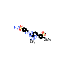 COCc1ccc(-c2ccc3nc(NCc4ccc(S(N)(=O)=O)cc4)nc(NCC(F)(F)F)c3n2)cc1S(C)(=O)=O